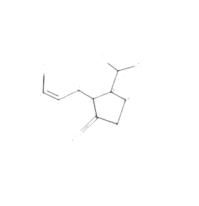 CC/C=C\CC1C(=O)CCC1C(C(C)=O)C(=O)OCC